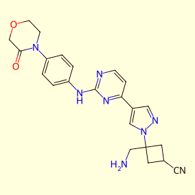 N#CC1CC(CN)(n2cc(-c3ccnc(Nc4ccc(N5CCOCC5=O)cc4)n3)cn2)C1